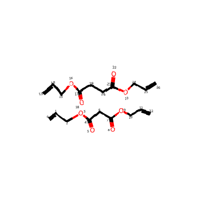 C=CCOC(=O)CC(=O)OCC=C.C=CCOC(=O)CCC(=O)OCC=C